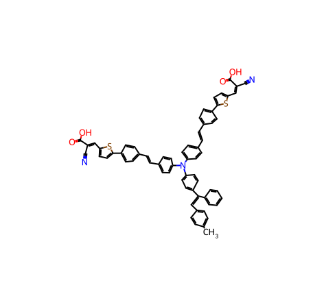 Cc1ccc(/C=C(\c2ccccc2)c2ccc(N(c3ccc(/C=C/c4ccc(-c5ccc(/C=C(/C#N)C(=O)O)s5)cc4)cc3)c3ccc(/C=C/c4ccc(-c5ccc(/C=C(\C#N)C(=O)O)s5)cc4)cc3)cc2)cc1